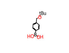 CC(C)(C)OCc1ccc(B(O)O)cc1